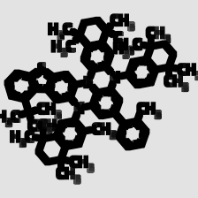 Cc1ccccc1-c1cc2c3c(c1)N(c1cc4c(cc1C)C(C)(C)CCC4(C)C)c1cc4c(cc1B3c1cc3c(cc1N2c1ccc2c(c1)C(C)(C)CCC2(C)C)C(C)(C)CCC3(C)C)sc1cccc(C(C)(C)C)c14